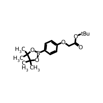 CC(C)(C)OC(=O)COc1ccc(B2OC(C)(C)C(C)(C)O2)cc1